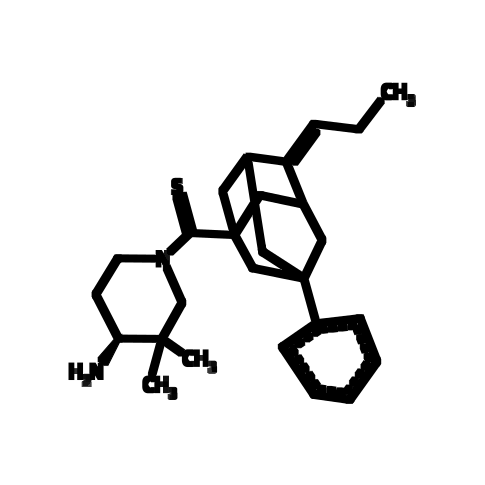 CCC=C1C2CC3(C(=S)N4CC[C@H](N)C(C)(C)C4)CC1CC(c1ccccc1)(C2)C3